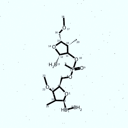 BB[C@@H]1O[C@H](COP(C)(=O)OC2[C@H](B)O[C@H](COC)[C@@H]2C)[C@H](OC)C1C